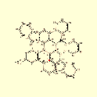 CCCCc1ccc(N2c3cc4sc5ccccc5c4cc3B3c4c(cc5c(oc6ccccc65)c42)-c2ccccc2N3c2ccccc2)c(-c2ccccc2)c1